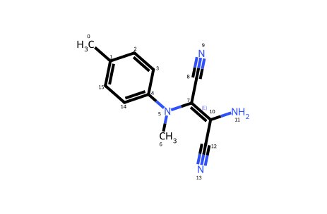 Cc1ccc(N(C)/C(C#N)=C(/N)C#N)cc1